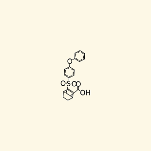 O=C(O)C1C2C=CC(CC2)C1S(=O)(=O)c1ccc(Oc2ccccc2)cc1